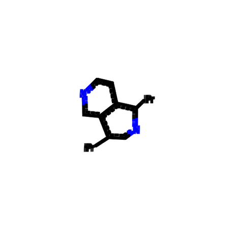 CC(C)c1cnc(C(C)C)c2ccncc12